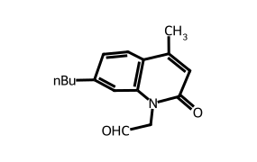 CCCCc1ccc2c(C)cc(=O)n(CC=O)c2c1